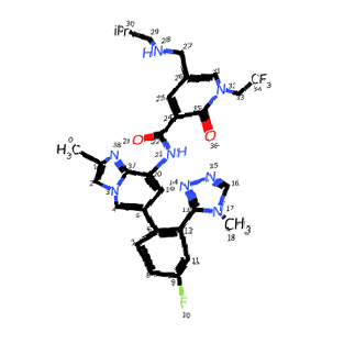 Cc1cn2cc(-c3ccc(F)cc3-c3nncn3C)cc(NC(=O)c3cc(CNCC(C)C)cn(CC(F)(F)F)c3=O)c2n1